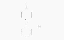 Cc1ccccc1N1CCC(=O)CC1